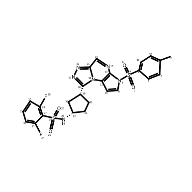 Cc1ccc(S(=O)(=O)n2ccc3c2ncc2nnc([C@@H]4CC[C@H](NS(=O)(=O)c5c(F)cccc5F)C4)n23)cc1